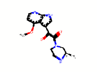 COc1ccnc2[nH]cc(C(=O)C(=O)N3CCN[C@H](C)C3)c12